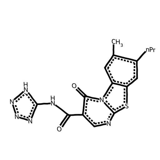 CCCc1cc2sc3ncc(C(=O)Nc4nnn[nH]4)c(=O)n3c2cc1C